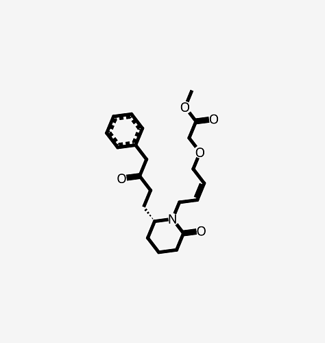 COC(=O)COC/C=C\CN1C(=O)CCC[C@@H]1CCC(=O)Cc1ccccc1